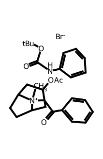 CC(=O)OC1CC2CCC(C1)[N+]2(C)CC(=O)c1ccccc1.CC(C)(C)OC(=O)Nc1ccccc1.[Br-]